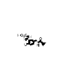 O=C(O)NNc1cc(CNC(=O)C2CC2)ccc1Cl